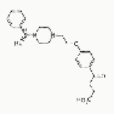 C#[SH](c1ccccc1)N1CCN(CCOc2ccc(C(=O)CCC(=O)O)cc2)CC1